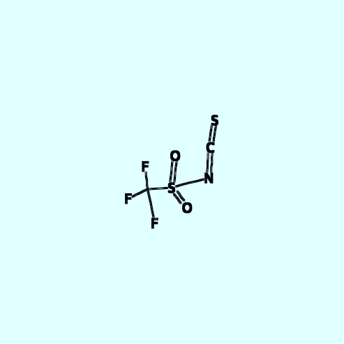 O=S(=O)(N=C=S)C(F)(F)F